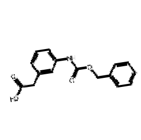 O=C(O)Cc1cccc(NC(=O)OCc2ccccc2)c1